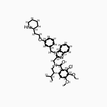 COc1ccc(C(=O)N(CCC(C)C)Cc2nc3ccccc3n2Cc2cccc(OCCC3CCCCN3)c2)c(Cl)c1OC